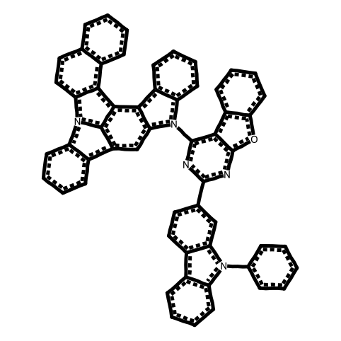 c1ccc(-n2c3ccccc3c3ccc(-c4nc(-n5c6ccccc6c6c7c8c9ccccc9ccc8n8c9ccccc9c(cc65)c78)c5c(n4)oc4ccccc45)cc32)cc1